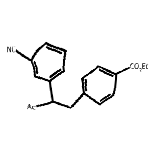 CCOC(=O)c1ccc(CC(C(C)=O)c2cccc(C#N)c2)cc1